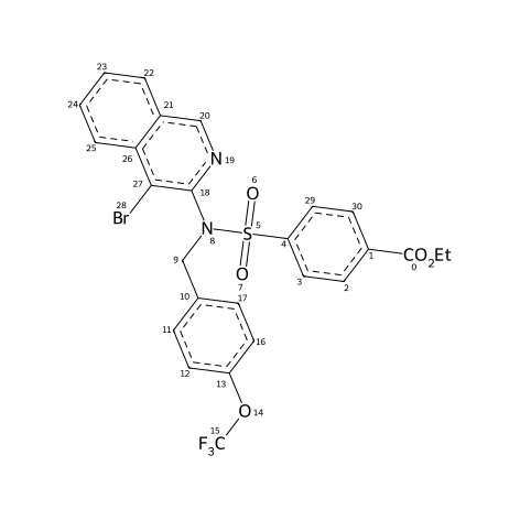 CCOC(=O)c1ccc(S(=O)(=O)N(Cc2ccc(OC(F)(F)F)cc2)c2ncc3ccccc3c2Br)cc1